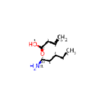 C=CCC(=O)O.CCCCCN